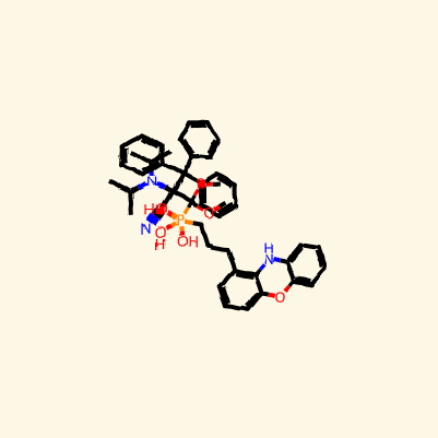 COC(OC)(C(C#N)(N(C(C)C)C(C)C)C(c1ccccc1)(c1ccccc1)c1ccccc1)P(O)(O)(O)CCCc1cccc2c1Nc1ccccc1O2